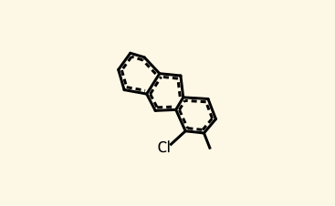 Cc1ccc2cc3ccccc3cc2c1Cl